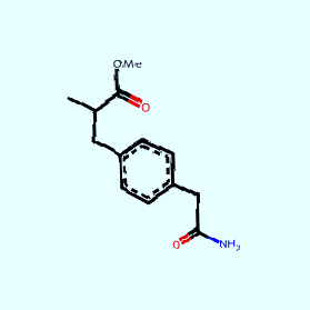 COC(=O)C(C)Cc1ccc(CC(N)=O)cc1